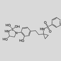 O=S(=O)(NC1(CCc2ccc(N3CC(O)NS3(O)O)c(O)c2)CC1)c1ccccc1